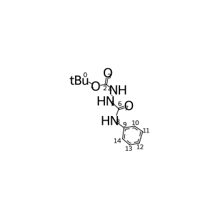 CC(C)(C)OC(=O)NNC(=O)Nc1ccccc1